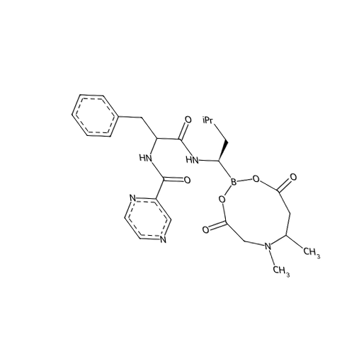 CC(C)C[C@H](NC(=O)C(Cc1ccccc1)NC(=O)c1cnccn1)B1OC(=O)CC(C)N(C)CC(=O)O1